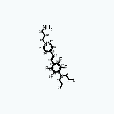 CCCN(CCC)c1c(F)c(F)c(C=Cc2cc[n+](CCCN)cc2)c(F)c1F